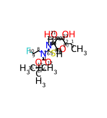 CC[C@H]1O[C@@H]2SC(N(CCF)C(=O)OC(C)(C)C)=N[C@@H]2[C@@H](O)[C@@H]1O